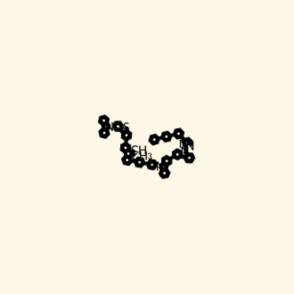 CC1(C)c2cc(-c3ccc4sc5ccc(-n6c7ccccc7c7ccccc76)cc5c4c3)ccc2-c2cccc(-c3ccc(-c4ccc(-n5c6ccccc6c6cc(-c7ccc8c(c7)c7ccccc7n8-c7nccc(-c8cccc(-c9ccc(-c%10ccccc%10)cc9)c8)n7)ccc65)cc4)cc3)c21